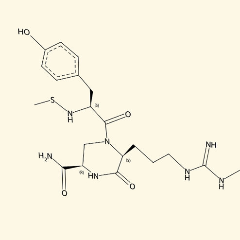 CNC(=N)NCCC[C@H]1C(=O)N[C@@H](C(N)=O)CN1C(=O)[C@H](Cc1ccc(O)cc1)NSC